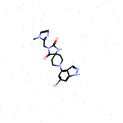 Cn1ccnc1CN1C(=O)NC2(CCN(c3cc(Cl)cc4[nH]ncc34)CC2)C1=O